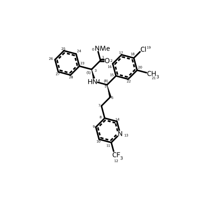 CNC(=O)[C@@H](N[C@H](CCc1ccc(C(F)(F)F)nc1)c1ccc(Cl)c(C)c1)c1ccccc1